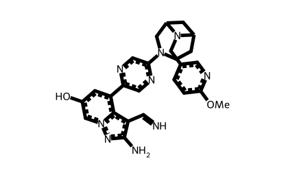 COc1ccc(CN2C3CCN(c4cnc(-c5cc(O)cn6nc(N)c(C=N)c56)cn4)CC2C3)cn1